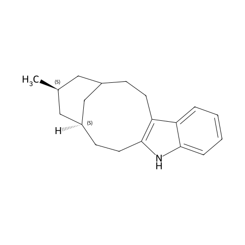 C[C@H]1CC2CCc3c([nH]c4ccccc34)CC[C@H](C2)C1